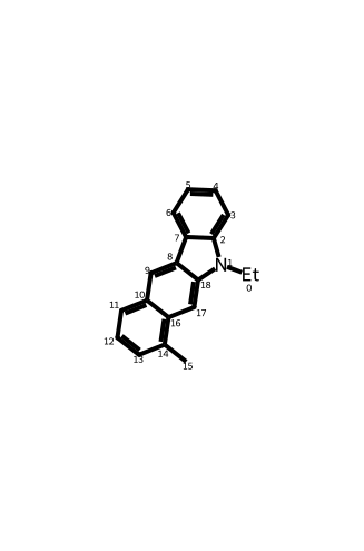 CCn1c2ccccc2c2cc3cccc(C)c3cc21